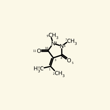 CC(C)=C1C(=O)N(C)N(C)C1=O